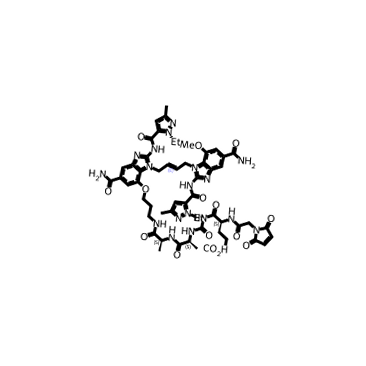 CCn1nc(C)cc1C(=O)Nc1nc2cc(C(N)=O)cc(OC)c2n1C/C=C/Cn1c(NC(=O)c2cc(C)nn2CC)nc2cc(C(N)=O)cc(OCCCNC(=O)[C@H](C)NC(=O)[C@H](C)NC(=O)NC(=O)[C@H](CCC(=O)O)NC(=O)CN3C(=O)C=CC3=O)c21